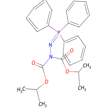 CC(C)OC(=O)N(N=P(c1ccccc1)(c1ccccc1)c1ccccc1)C(=O)OC(C)C